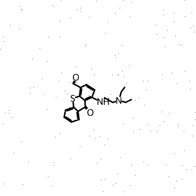 CCN(CC)CCNc1ccc(C=O)c2sc3ccccc3c(=O)c12